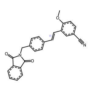 COc1ccc(C#N)cc1/C=C/c1ccc(CN2C(=O)c3ccccc3C2=O)cc1